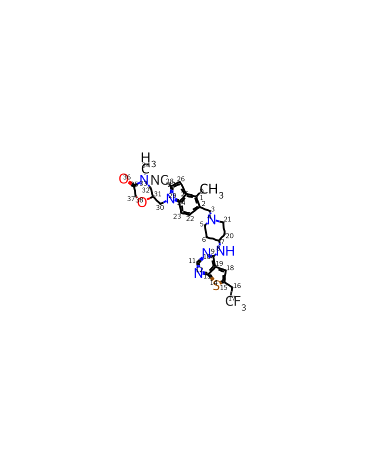 Cc1c(CN2CCC(Nc3ncnc4sc(CC(F)(F)F)cc34)CC2)ccc2c1cc(C#N)n2CC1CN(C)C(=O)CO1